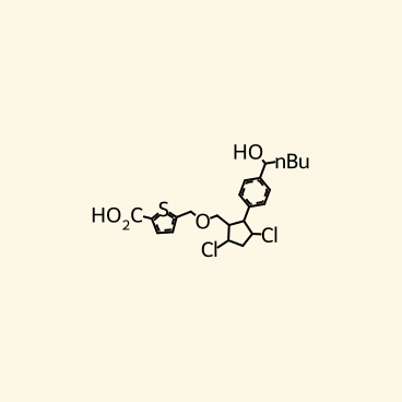 CCCCC(O)c1ccc(C2C(Cl)CC(Cl)C2COCc2ccc(C(=O)O)s2)cc1